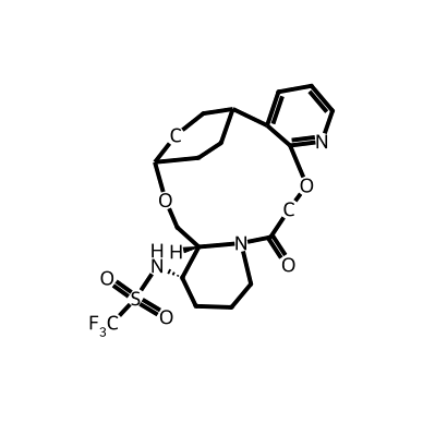 O=C1COc2ncccc2C2CCC(CC2)OC[C@H]2[C@@H](NS(=O)(=O)C(F)(F)F)CCCN12